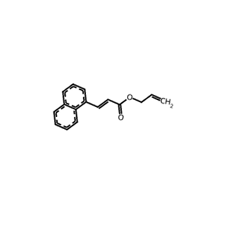 C=CCOC(=O)C=Cc1cccc2ccccc12